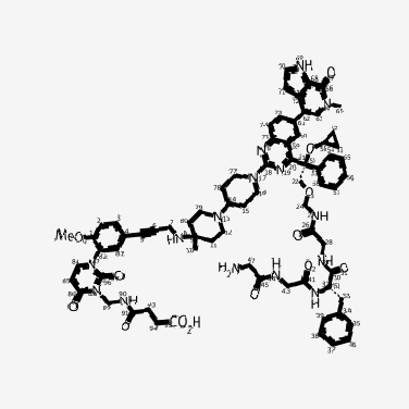 COc1ccc(C#CCNC2(C)CCN(C3CCN(c4nc([C@@](COCNC(=O)CNC(=O)[C@H](Cc5ccccc5)NC(=O)CNC(=O)CN)(OC5CC5)c5ccccc5)c5cc(-c6cn(C)c(=O)c7[nH]ccc67)ccc5n4)CC3)CC2)cc1-n1ccc(=O)n(CNC(=O)CCC(=O)O)c1=O